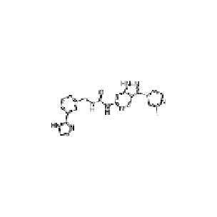 Cc1cc(-c2n[nH]c3cc(NC(=O)NCc4cccc(-c5ncc[nH]5)c4)ncc23)ccn1